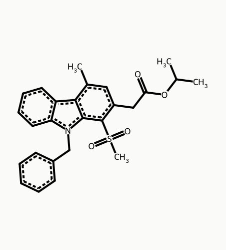 Cc1cc(CC(=O)OC(C)C)c(S(C)(=O)=O)c2c1c1ccccc1n2Cc1ccccc1